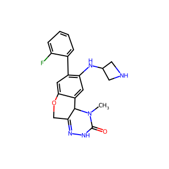 CN1C(=O)NN=C2COc3cc(-c4ccccc4F)c(NC4CNC4)cc3C21